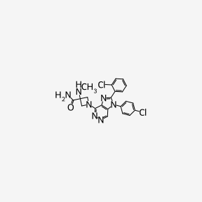 CNC1(C(N)=O)CN(c2nncc3c2nc(-c2ccccc2Cl)n3-c2ccc(Cl)cc2)C1